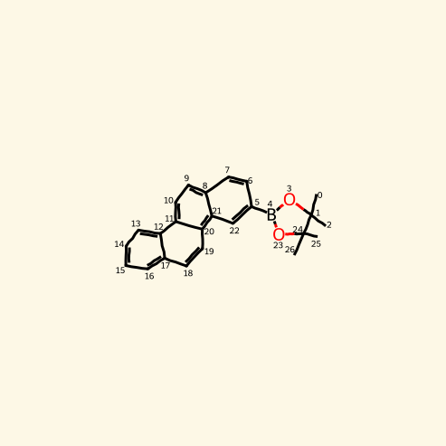 CC1(C)OB(c2ccc3ccc4c5ccccc5ccc4c3c2)OC1(C)C